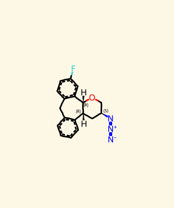 [N-]=[N+]=N[C@@H]1CO[C@H]2c3cc(F)ccc3Cc3ccccc3[C@H]2C1